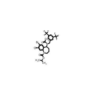 CC(=O)N(Cc1cc(C(F)(F)F)cc(C(F)(F)F)c1)C1CCCN(C(=O)OC(C)C)c2cc(Cl)c(Br)cc21